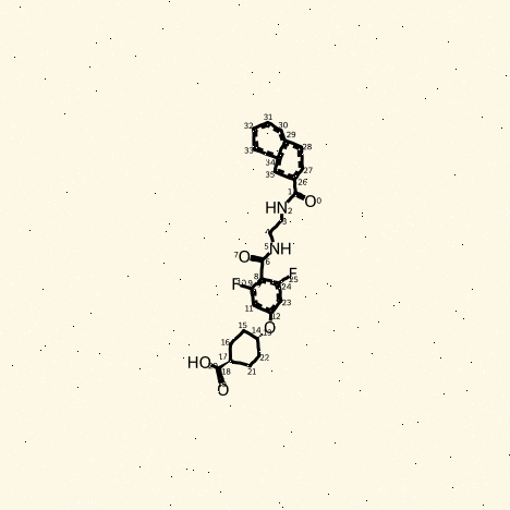 O=C(NCCNC(=O)c1c(F)cc(O[C@H]2CC[C@H](C(=O)O)CC2)cc1F)c1ccc2ccccc2c1